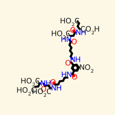 O=C(O)CC[C@H](NC(=O)C[C@@H](NC(=O)CCCCCNC(=O)c1cc(C(=O)NCCCCCC(=O)N[C@H](CC(=O)N[C@@H](CCC(=O)O)C(=O)O)C(=O)O)cc([N+](=O)[O-])c1)C(=O)O)C(=O)O